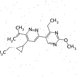 C=C(C)c1nnc(-c2cnc(OC)nc2CC)cc1C1C[C@@H]1CC